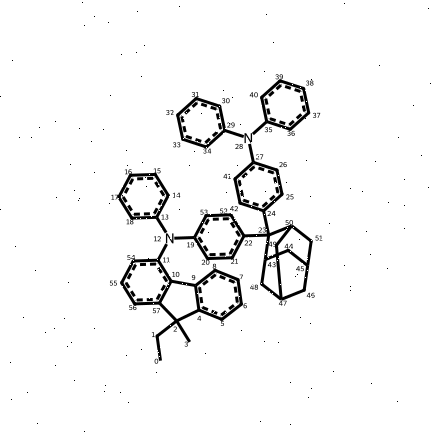 CCC1(C)c2ccccc2-c2c(N(c3ccccc3)c3ccc(C4(c5ccc(N(c6ccccc6)c6ccccc6)cc5)C5CC6CC(C5)CC4C6)cc3)cccc21